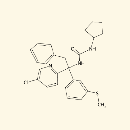 CSc1cccc(C(Cc2ccccc2)(NC(=O)NC2CCCC2)c2ccc(Cl)cn2)c1